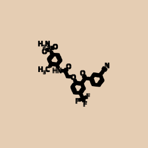 Cc1cc(S(N)(=O)=O)ccc1NC(=O)COc1ccc(C(F)(F)F)cc1C(=O)c1cccc(C#N)c1